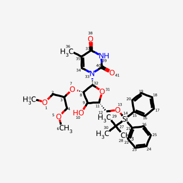 COCC(COC)O[C@H]1C(O)[C@@H](CO[Si](c2ccccc2)(c2ccccc2)C(C)(C)C)O[C@H]1n1cc(C)c(=O)[nH]c1=O